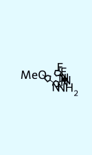 COc1ccc(-c2cnc(N)c(-c3nnnn3-c3cccc(F)c3F)c2)cc1